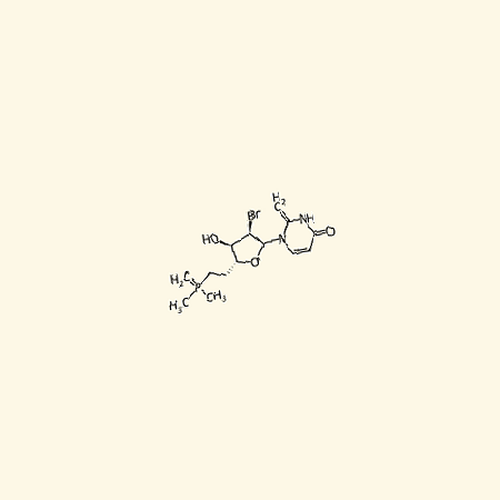 C=C1NC(=O)C=CN1C1O[C@H](CCP(=C)(C)C)[C@@H](O)[C@H]1Br